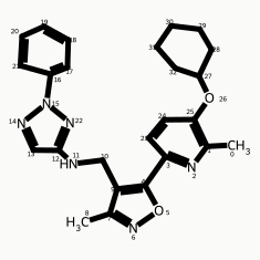 Cc1nc(-c2onc(C)c2CNc2cnn(-c3ccccc3)n2)ccc1OC1CCCCC1